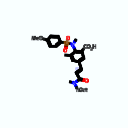 CCCCCCCCN(C)C(=O)/C=C/c1cc(C)c(N(C)S(=O)(=O)c2ccc(OC)cc2)c(C(=O)O)c1